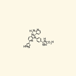 CC(C)(C)C(NC(=O)O)c1ccc(-n2c(-c3cccnc3N)nc3ccc(-c4cn[nH]c4)nc32)cc1